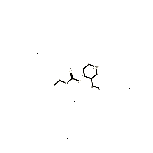 CCOC(=O)C[C@@H]1CCNC[C@H]1CC